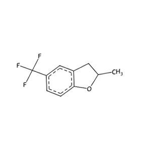 CC1Cc2cc(C(F)(F)F)ccc2O1